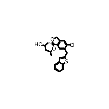 CC1CC(O)C[C@@]2(OCc3cc(Cl)c(Cc4cc5ccccc5s4)cc32)O1